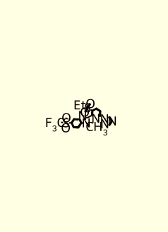 CCS(=O)(=O)c1ccc(-n2cncn2)nc1-c1nc2cc(S(=O)(=O)C(F)(F)F)ccc2n1C